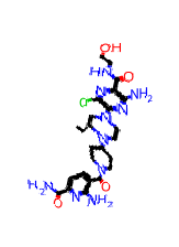 CC[C@H]1CN(c2nc(N)c(C(=O)NCCO)nc2Cl)CCN1C1CCN(C(=O)c2ccc(C(N)=O)nc2N)CC1